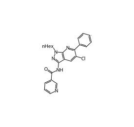 CCCCCCn1nc(NC(=O)c2cccnc2)c2cc(Cl)c(-c3cc[c]cc3)nc21